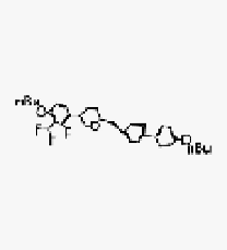 CCCCOc1ccc(-c2ccc(/C=C/C3CCC(c4ccc(OCCCC)c(C(F)F)c4F)CO3)cc2)cc1